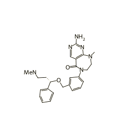 CNCC[C@H](OCc1cccc(N2CCN(C)c3nc(N)ncc3C2=O)c1)c1ccccc1